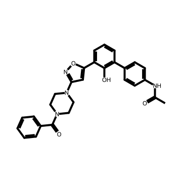 CC(=O)Nc1ccc(-c2cccc(-c3cc(N4CCN(C(=O)c5ccccc5)CC4)no3)c2O)cc1